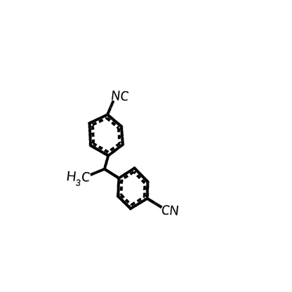 [C-]#[N+]c1ccc(C(C)c2ccc(C#N)cc2)cc1